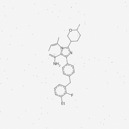 C=C(N)c1c(-c2ccc(Cc3cccc(CC)c3F)cc2)nc(C2CCC(C)OC2)n1/C(C)=C\C